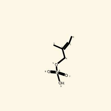 C/C=C(\C)COS(=O)(=O)O